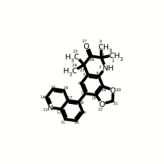 CC1(C)Nc2c(cc(-c3cccc4ncccc34)c3c2OCO3)C(C)(C)C1=O